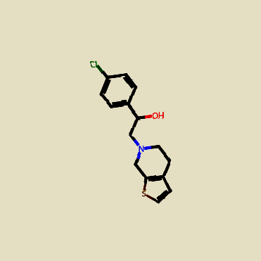 OC(CN1CCc2ccsc2C1)c1ccc(Cl)cc1